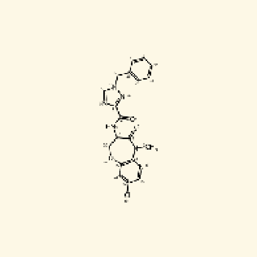 CN1C(=S)C(NC(=O)c2ncn(Cc3ccccc3)n2)COc2cc(Cl)cnc21